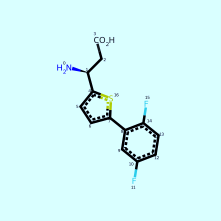 N[C@@H](CC(=O)O)c1ccc(-c2cc(F)ccc2F)s1